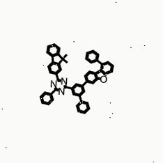 CC1(C)c2ccccc2-c2ccc(-c3nc(-c4ccccc4)nc(-c4cc(-c5ccccc5)cc(-c5ccc6c(c5)oc5cccc(-c7ccccc7)c56)c4)n3)cc21